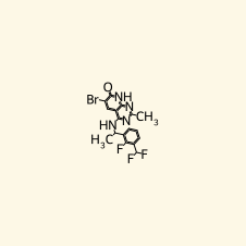 Cc1nc(NC(C)c2cccc(C(F)F)c2F)c2cc(Br)c(=O)[nH]c2n1